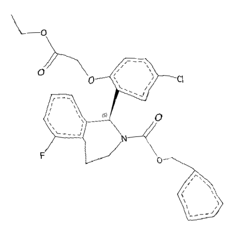 CCOC(=O)COc1ccc(Cl)cc1[C@@H]1c2cccc(F)c2CCN1C(=O)OCc1ccccc1